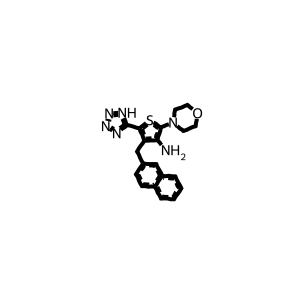 Nc1c(N2CCOCC2)sc(-c2nnn[nH]2)c1Cc1ccc2ccccc2c1